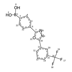 OB(O)c1ccc(-c2nnc(-c3cccc(C(F)(F)F)c3)o2)cc1